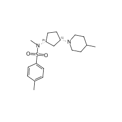 Cc1ccc(S(=O)(=O)N(C)[C@@H]2CC[C@H](N3CCC(C)CC3)C2)cc1